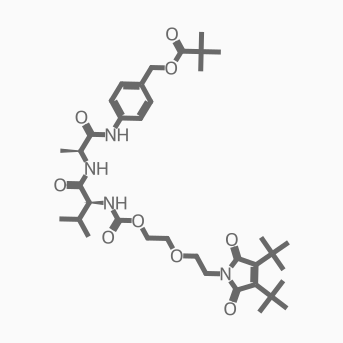 CC(C)[C@H](NC(=O)OCCOCCN1C(=O)C(C(C)(C)C)=C(C(C)(C)C)C1=O)C(=O)N[C@@H](C)C(=O)Nc1ccc(COC(=O)C(C)(C)C)cc1